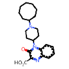 O=C(O)c1nc2ccccc2n(C2CCN(C3CCCCCCC3)CC2)c1=O